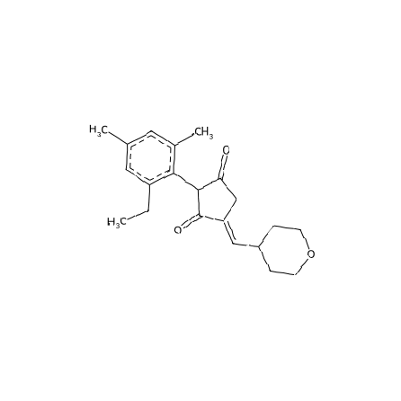 CCc1cc(C)cc(C)c1C1C(=O)C/C(=C\C2CCOCC2)C1=O